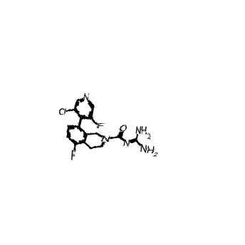 NC(N)=NC(=O)N1CCc2c(F)ccc(-c3c(F)cncc3Cl)c2C1